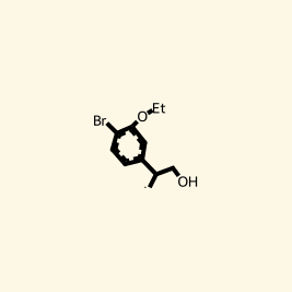 [CH2]C(CO)c1ccc(Br)c(OCC)c1